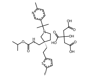 Cc1ccc(C(C)(C)N2CC[C@@](CCc3ccc(F)s3)(CNC(=O)OC(C)C)C2)cn1.O=C(O)CC(O)(CC(=O)O)C(=O)O